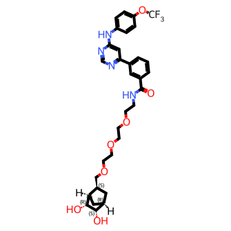 O=C(NCCOCCOCCOC[C@H]1C[C@@H]2C[C@H]1[C@@H](O)[C@H]2O)c1cccc(-c2cc(Nc3ccc(OC(F)(F)F)cc3)ncn2)c1